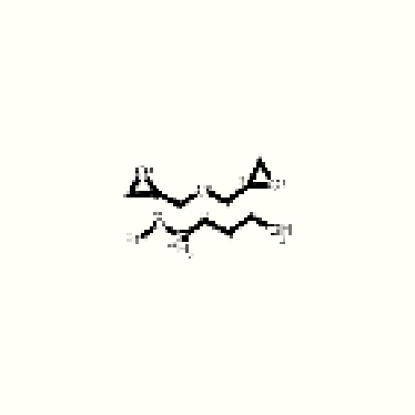 C(OCC1CO1)C1CO1.CCO[SiH2]CCCO